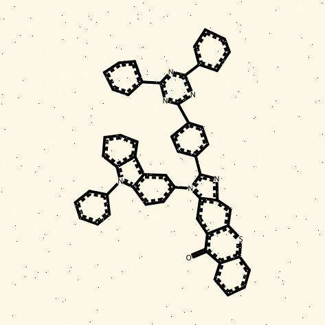 O=c1c2ccccc2sc2cc3nc(-c4ccc(-c5nc(-c6ccccc6)nc(-c6ccccc6)n5)cc4)n(-c4ccc5c(c4)c4ccccc4n5-c4ccccc4)c3cc12